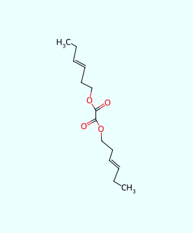 CCC=CCCOC(=O)C(=O)OCCC=CCC